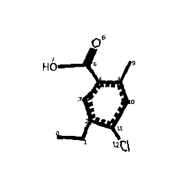 CCc1cc(C(=O)O)c(C)cc1Cl